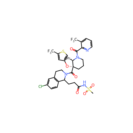 CCC[C@H]1N(C(=O)c2ncccc2C(F)(F)F)CCC[C@@]1(Oc1csc(C(F)(F)F)c1)C(=O)N1CCc2cc(Cl)ccc2C1CCC(=O)NS(C)(=O)=O